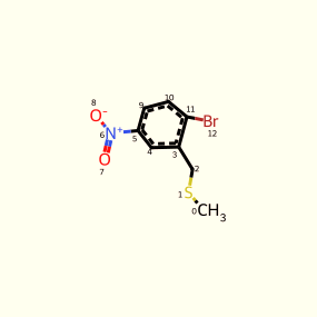 CSCc1cc([N+](=O)[O-])ccc1Br